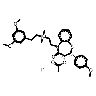 COc1ccc([C@H]2Sc3ccccc3N(CC[N+](C)(C)CCc3cc(OC)cc(OC)c3)C(=O)[C@H]2OC(C)=O)cc1.[I-]